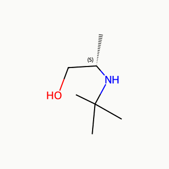 C[C@@H](CO)NC(C)(C)C